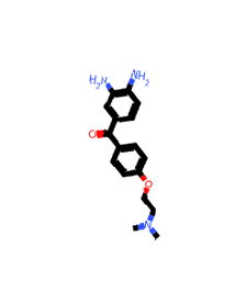 CN(C)CCOc1ccc(C(=O)c2ccc(N)c(N)c2)cc1